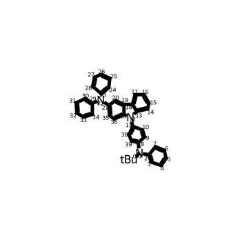 CC(C)(C)N(c1ccccc1)c1ccc(-n2c3ccccc3c3cc(N(c4ccccc4)c4ccccc4)ccc32)cc1